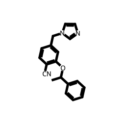 CC(Oc1cc(Cn2ccnc2)ccc1C#N)c1ccccc1